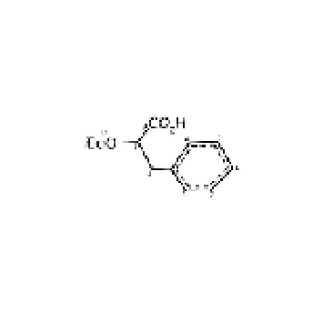 CC(C)COC(Cc1ccccc1)C(=O)O